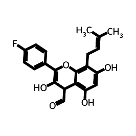 CC(C)=CCc1c(O)cc(O)c2c1OC(c1ccc(F)cc1)=C(O)C2C=O